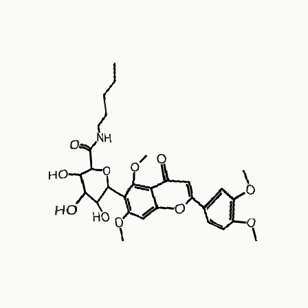 CCCCCNC(=O)C1OC(c2c(OC)cc3oc(-c4ccc(OC)c(OC)c4)cc(=O)c3c2OC)C(O)C(O)C1O